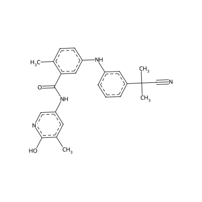 Cc1ccc(Nc2cccc(C(C)(C)C#N)c2)cc1C(=O)Nc1cnc(O)c(C)c1